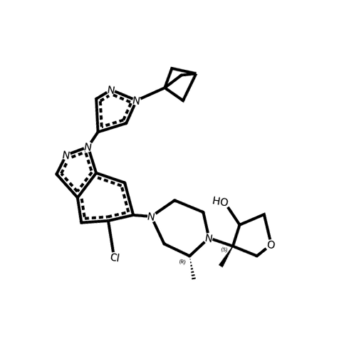 C[C@@H]1CN(c2cc3c(cnn3-c3cnn(C45CC(C4)C5)c3)cc2Cl)CCN1[C@@]1(C)COCC1O